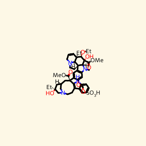 CCO[C@@H]1[C@]2(CC)C=CCN3CC[C@@]4(c5cc([C@@]6(C(=O)OC)C[C@H]7CN(CCc8c6[nH]c6ccccc86)C[C@](O)(CC)C7)c(OCOS(=O)(=O)O)cc5N(C)[C@H]4[C@@]1(O)C(=O)OC)[C@@H]32